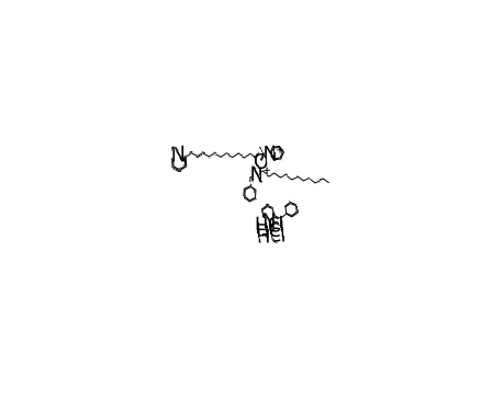 CC(=O)[n+]1ccccc1.CCCCCCCCCCCC[N+](C)(C)Cc1ccccc1.CCCCCCCCCCCCc1ccccn1.Cl.Cl.Cl.c1ccc(Cc2ccccn2)cc1